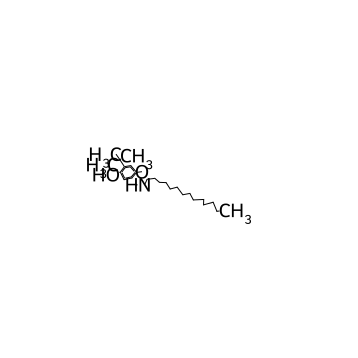 CCCCCCCCCCCCCC([NH])Oc1ccc(O)c(C(C)(C)C)c1